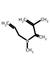 C=CCN(C)C(=C)C(=C)C